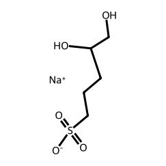 O=S(=O)([O-])CCCC(O)CO.[Na+]